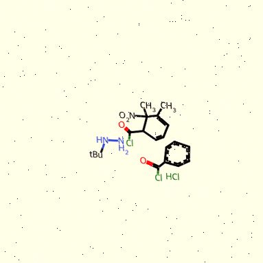 CC(C)(C)NN.CC1=CC=CC(C(=O)Cl)C1(C)[N+](=O)[O-].Cl.O=C(Cl)c1ccccc1